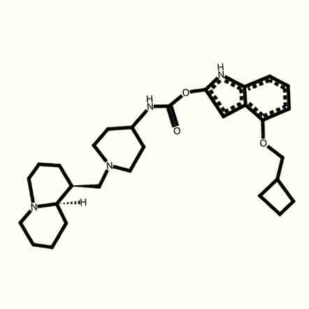 O=C(NC1CCN(C[C@@H]2CCCN3CCCC[C@H]23)CC1)Oc1cc2c(OCC3CCC3)cccc2[nH]1